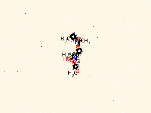 COc1ccc(OC(=O)N(CCC2CCCC(OCc3nc(-c4cccc(C)c4)oc3C)C2)C(C(=O)O)C(C)C)cc1